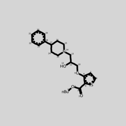 CCCCOC(=O)c1sccc1OCC(O)CN1CCC(c2ccccc2)CC1